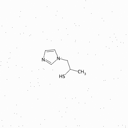 CC(S)Cn1ccnc1